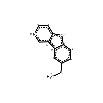 CCc1ccc2oc3ccncc3c2c1